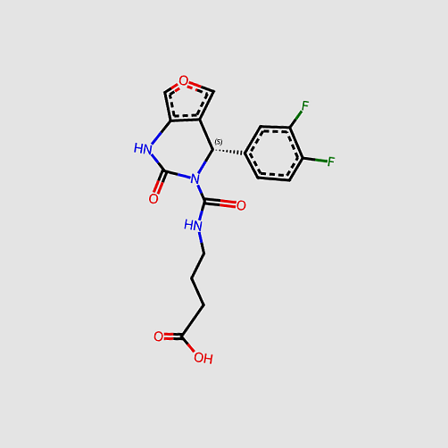 O=C(O)CCCNC(=O)N1C(=O)Nc2cocc2[C@@H]1c1ccc(F)c(F)c1